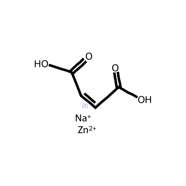 O=C(O)/C=C\C(=O)O.[Na+].[Zn+2]